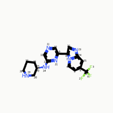 FC(F)(F)c1ccn2c(-c3cncc(N[C@@H]4CCCNC4)n3)cnc2c1